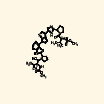 COC(=O)N[C@@H](C(C)C)C(O)N1CCCC1c1nc2c(-c3csc4c(-c5cnc(C6CCCN6C(=O)[C@@H](NC(=O)OC)C(C)C)[nH]5)csc34)cccc2[nH]1